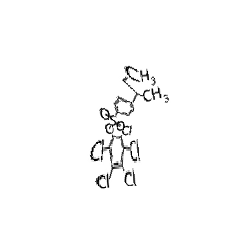 CCC(C)c1ccc(S(=O)(=O)Oc2c(Cl)c(Cl)c(Cl)c(Cl)c2Cl)cc1